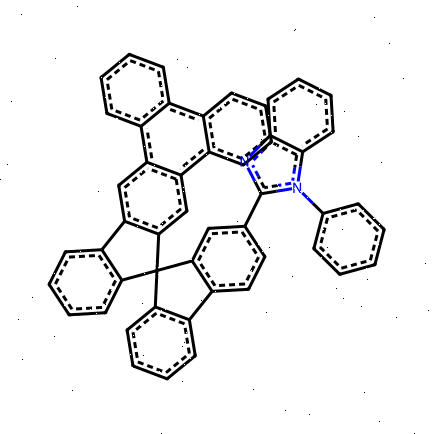 c1ccc(-n2c(-c3ccc4c(c3)C3(c5ccccc5-4)c4ccccc4-c4cc5c6ccccc6c6ccccc6c5cc43)nc3ccccc32)cc1